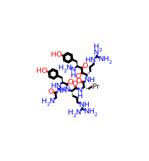 CC(C)C[C@H](NC(=O)[C@H](CCCNC(N)N)NC(=O)[C@H](Cc1ccc(O)cc1)NNC(=O)CN)C(=O)N[C@@H](CCCNC(N)N)C(=O)C(=O)[C@H](Cc1ccc(O)cc1)NN